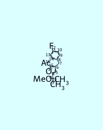 COC(C)(C)c1cc(Cc2ccc(F)cc2)c(C(C)=O)o1